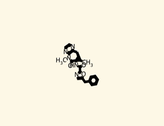 CN1C(=O)C2(NC(=O)c3ncc(Cc4ccccc4)o3)C3C(c4nccnc41)C32C